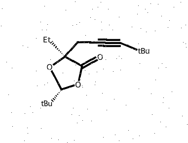 CC[C@@]1(CC#CC(C)(C)C)O[C@@H](C(C)(C)C)OC1=O